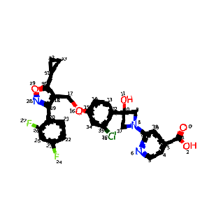 O=C(O)c1ccnc(N2CC(O)(c3ccc(OCc4c(-c5ccc(F)cc5F)noc4C4CC4)cc3Cl)C2)c1